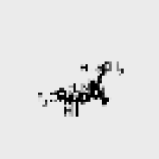 CN(C)CCCn1nc(N)c2c(-c3ccc(NC(=O)Nc4cccc(C(F)(F)F)c4)cc3)cc(C3CC3)nc21